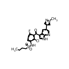 CCCCS(=O)(=O)Nc1ccc(F)c(C(=O)c2c[nH]c3ncc(-c4cnn(C)c4)cc23)c1Cl